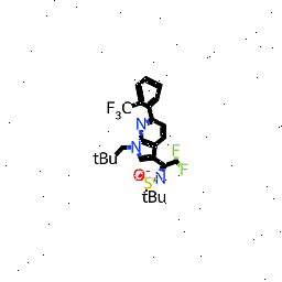 CC(C)(C)Cn1cc(/C(=N\[S@@+]([O-])C(C)(C)C)C(F)F)c2ccc(-c3ccccc3C(F)(F)F)nc21